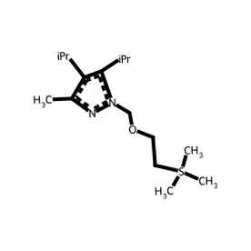 Cc1nn(COCCS(C)(C)C)c(C(C)C)c1C(C)C